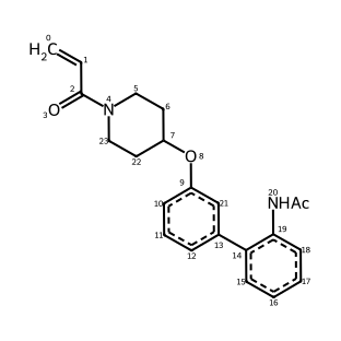 C=CC(=O)N1CCC(Oc2cccc(-c3ccccc3NC(C)=O)c2)CC1